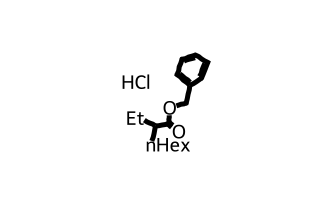 CCCCCCC(CC)C(=O)OCc1ccccc1.Cl